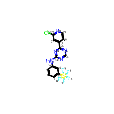 FS(F)(F)(F)(F)c1cccc(Nc2ncnc(-c3ccnc(Cl)c3)n2)c1